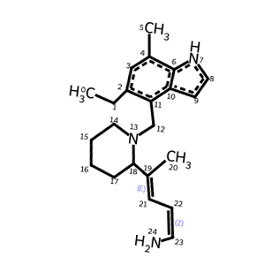 CCc1cc(C)c2[nH]ccc2c1CN1CCCCC1/C(C)=C/C=C\N